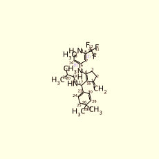 C=C1CCC(NC(/C=C(\N)C(F)(F)F)=C/C)=C1C(NCC(C)C)C1=CCC(C)(C)C=C1